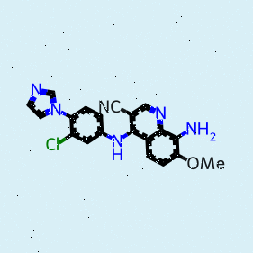 COc1ccc2c(Nc3ccc(-n4ccnc4)c(Cl)c3)c(C#N)cnc2c1N